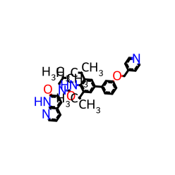 CC(C)CN(C(=O)Nc1c(C(C)C)cc(-c2cccc(OCc3ccncc3)c2)cc1C(C)C)c1cc2cccnc2[nH]c1=O